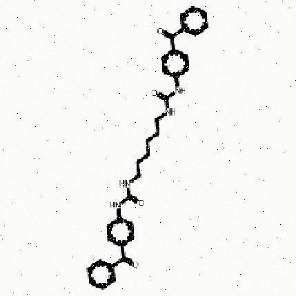 O=C(NCCCCCCNC(=O)Nc1ccc(C(=O)c2ccccc2)cc1)Nc1ccc(C(=O)c2ccccc2)cc1